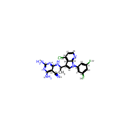 CC(Nc1nc(N)nc(N)c1C#N)c1cn(-c2cc(F)cc(F)c2)c2nccc(Cl)c12